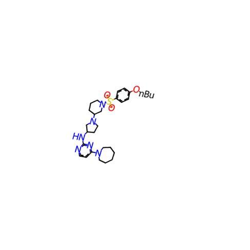 CCCCOc1ccc(S(=O)(=O)N2CCCC(N3CCC(Nc4nccc(N5CCCCCC5)n4)C3)C2)cc1